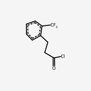 O=C(Cl)CCc1ccccc1C(F)(F)F